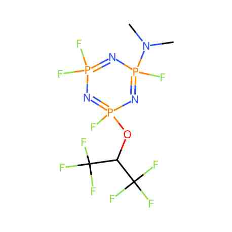 CN(C)P1(F)=NP(F)(OC(C(F)(F)F)C(F)(F)F)=NP(F)(F)=N1